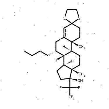 C[C@]12CCC3(C=C1C[C@@H](CCCI)[C@@H]1[C@@H]2CC[C@@]2(C)[C@H]1CC[C@@]2(O)C(F)(F)C(F)(F)F)SCCS3